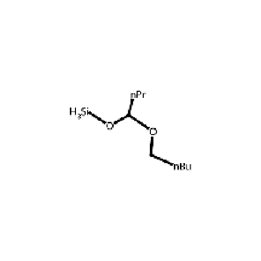 CCCCCOC(CCC)O[SiH3]